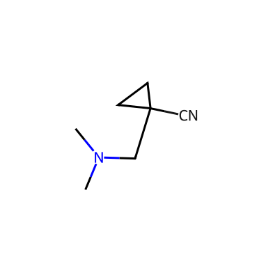 CN(C)CC1(C#N)CC1